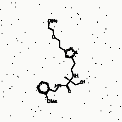 COCCOCCn1cc(CCN[C@](C)(CO)C(=O)NCc2ccccc2OC)nn1